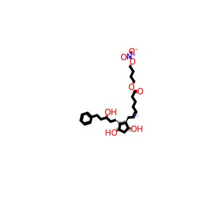 O=C(CCC/C=C\C[C@@H]1[C@@H](CCC(O)CCc2ccccc2)[C@H](O)C[C@@H]1O)OCCCCO[N+](=O)[O-]